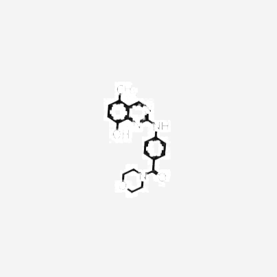 Cc1ccc(O)c2nc(Nc3ccc(C(=O)N4CCOCC4)cc3)ncc12